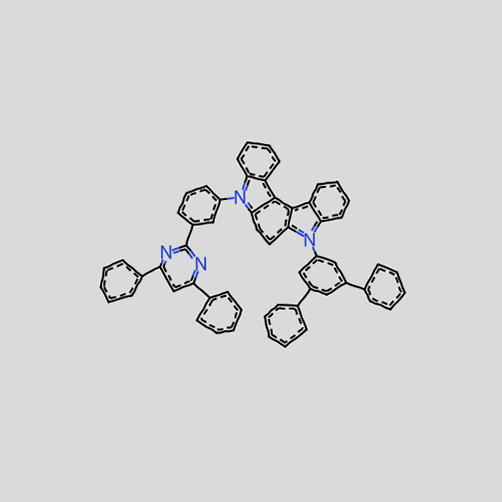 c1ccc(-c2cc(-c3ccccc3)cc(-n3c4ccccc4c4c5c6ccccc6n(-c6cccc(-c7nc(-c8ccccc8)cc(-c8ccccc8)n7)c6)c5ccc43)c2)cc1